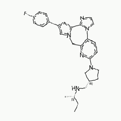 CC[C@H](C)NC[C@H]1CCN(c2ccc3c(n2)Cn2cc(-c4ccc(F)cc4)cc2-c2nccn2-3)C1